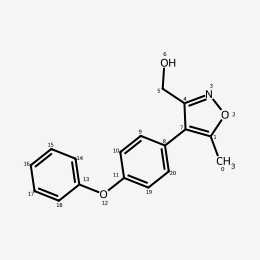 Cc1onc(CO)c1-c1ccc(Oc2ccccc2)cc1